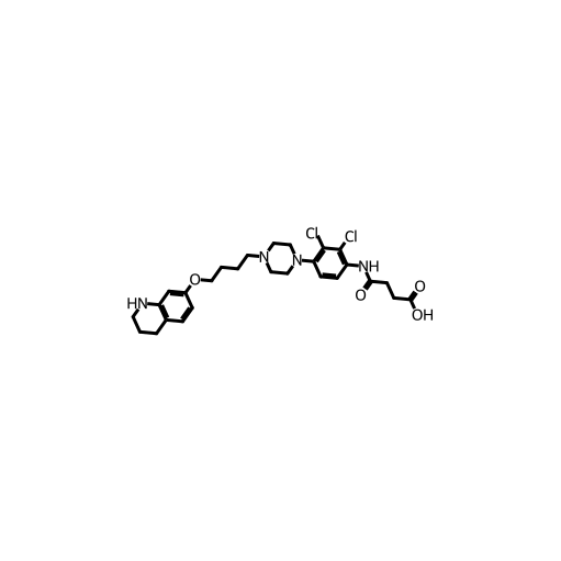 O=C(O)CCC(=O)Nc1ccc(N2CCN(CCCCOc3ccc4c(c3)NCCC4)CC2)c(Cl)c1Cl